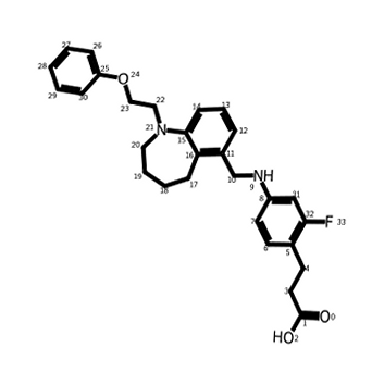 O=C(O)CCc1ccc(NCc2cccc3c2CCCCN3CCOc2ccccc2)cc1F